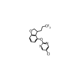 FC(F)(F)CCC1COc2cccc(Oc3ncc(Cl)cn3)c21